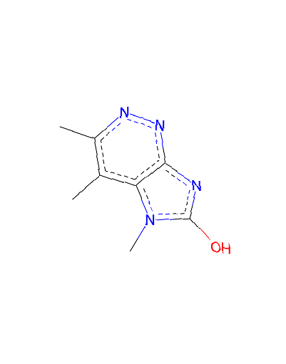 Cc1nnc2nc(O)n(C)c2c1C